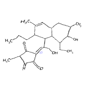 CCCC1C(C)=CC2CC(C)C(O)C(CC)C2C1/C(O)=C1/C(=O)NC(C)C1=O